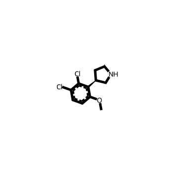 COc1ccc(Cl)c(Cl)c1[C@H]1C[CH]NC1